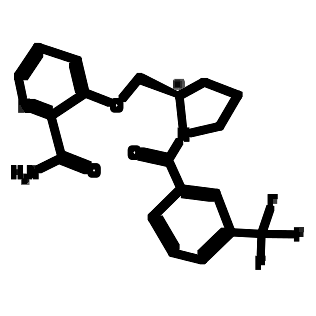 NC(=O)c1ncccc1OC[C@H]1CCCN1C(=O)c1cccc(C(F)(F)F)c1